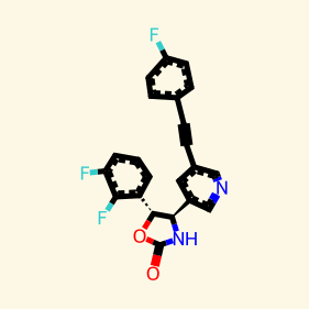 O=C1N[C@H](c2cncc(C#Cc3ccc(F)cc3)c2)[C@@H](c2cccc(F)c2F)O1